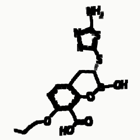 CCCOc1ccc2c(c1C(=O)O)OB(O)[C@@H](Sc1nnc(N)s1)C2